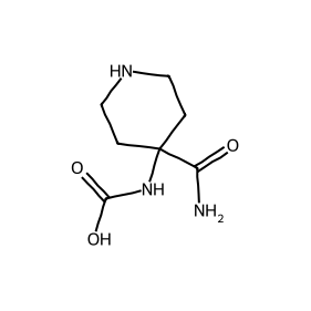 NC(=O)C1(NC(=O)O)CCNCC1